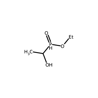 CCO[PH](=O)C(C)O